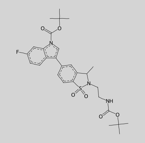 CC1c2cc(-c3cn(C(=O)OC(C)(C)C)c4cc(F)ccc34)ccc2S(=O)(=O)N1CCNC(=O)OC(C)(C)C